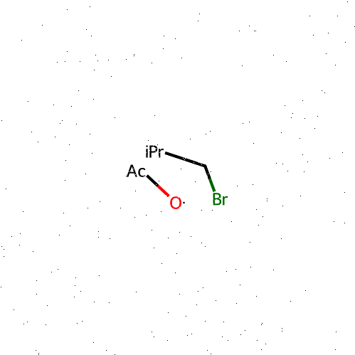 CC(C)CBr.CC([O])=O